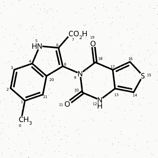 Cc1ccc2[nH]c(C(=O)O)c(-n3c(=O)[nH]c4cscc4c3=O)c2c1